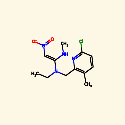 CCN(Cc1nc(Cl)ccc1C)/C(=C/[N+](=O)[O-])NC